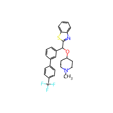 CN1CCC(OC(c2cccc(-c3ccc(C(F)(F)F)cc3)c2)c2nc3ccccc3s2)CC1